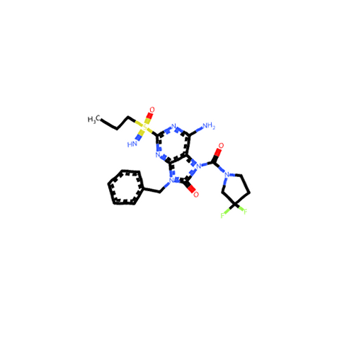 CCCS(=N)(=O)c1nc(N)c2c(n1)n(Cc1ccccc1)c(=O)n2C(=O)N1CCC(F)(F)C1